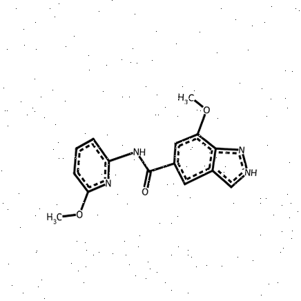 COc1cccc(NC(=O)c2cc(OC)c3n[nH]cc3c2)n1